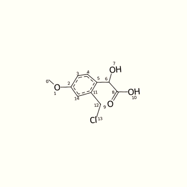 COc1ccc(C(O)C(=O)O)c(CCl)c1